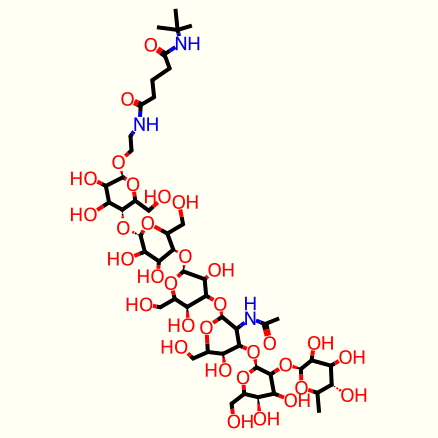 CC(=O)NC1C(O[C@@H]2OC(CO)[C@H](O)C(O)C2O[C@@H]2OC(C)[C@@H](O)C(O)C2O)[C@@H](O)C(CO)O[C@H]1OC1C(O)[C@@H](O[C@H]2C(CO)O[C@@H](O[C@H]3C(CO)O[C@@H](OCCNC(=O)CCCC(=O)NC(C)(C)C)C(O)C3O)C(O)C2O)OC(CO)[C@@H]1O